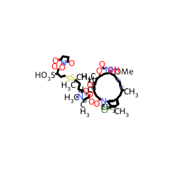 COC1/C=C/C=C(\C)Cc2cc(C)c(Cl)c(c2)N(C)C(=O)CC(OC(=O)[C@H](C)N(C)C(=O)CCC(C)(C)SSCCC(C(=O)ON2C(=O)CCC2=O)S(=O)(=O)O)[C@@]2(C)O[C@@H]2C(C)C2CC1(O)NC(=O)O2